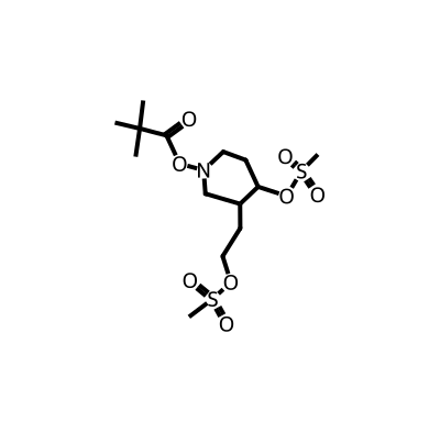 CC(C)(C)C(=O)ON1CCC(OS(C)(=O)=O)C(CCOS(C)(=O)=O)C1